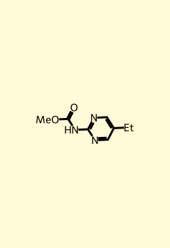 CCc1cnc(NC(=O)OC)nc1